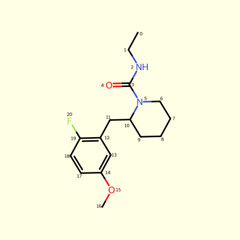 CCNC(=O)N1CCCCC1Cc1cc(OC)ccc1F